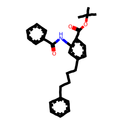 CC(C)(C)OC(=O)c1ccc(CCCCc2ccccc2)cc1NC(=O)c1ccccc1